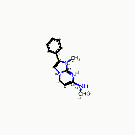 CN1C(c2ccccc2)=CN2CC=C(N[C]=O)N=C21